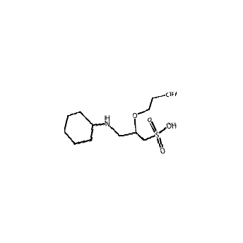 O=S(=O)(O)CC(CNC1CCCCC1)OCCO